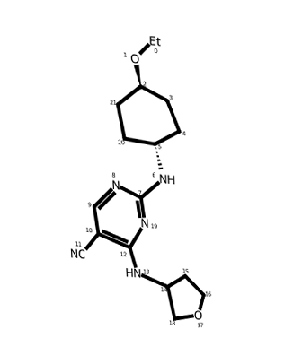 CCO[C@H]1CC[C@H](Nc2ncc(C#N)c(NC3CCOC3)n2)CC1